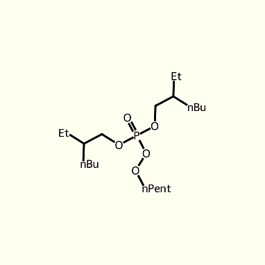 CCCCCOOP(=O)(OCC(CC)CCCC)OCC(CC)CCCC